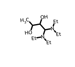 CCN(CC)C(C(O)C(C)O)N(CC)CC